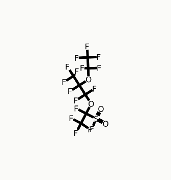 O=S(=O)(F)C(F)(OC(F)(F)C(F)(OC(F)(F)C(F)(F)F)C(F)(F)F)C(F)(F)F